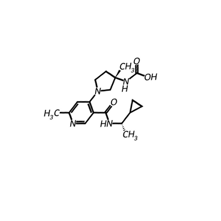 Cc1cc(N2CC[C@](C)(NC(=O)O)C2)c(C(=O)N[C@@H](C)C2CC2)cn1